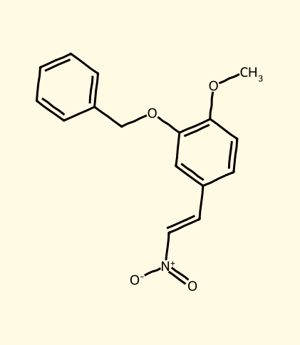 COc1ccc(/C=C/[N+](=O)[O-])cc1OCc1ccccc1